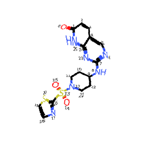 O=c1ccc2cnc(NC3CCN(S(=O)(=O)c4nccs4)CC3)nc2[nH]1